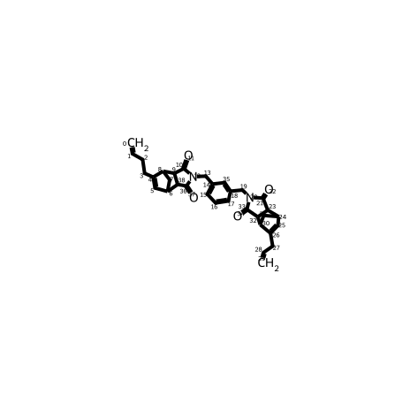 C=CCCC1=CC2CC1C1C(=O)N(Cc3cccc(CN4C(=O)C5C6C=C(CC=C)C(C6)C5C4=O)c3)C(=O)C21